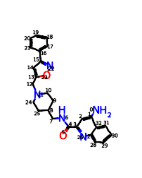 Nc1cc(C(=O)NCC2CCN(Cc3cc(-c4ccccc4)no3)CC2)nc2ccccc12